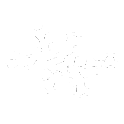 CC1(C)c2ccccc2-c2ccc(N(c3ccc4ccccc4c3)c3cc(-c4ccccc4)c4ccc5c(N(c6ccc7c(c6)C(C)(C)c6ccccc6-7)c6ccc7ccccc7c6)cc(-c6ccccc6)c6ccc3c4c65)cc21